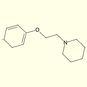 [CH]1C=CC(OCCN2CCCCC2)=CC1